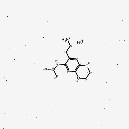 Cl.NCCc1cc2c(cc1OC(F)F)OCCO2